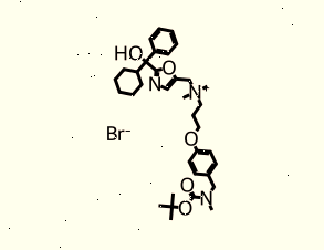 CN(Cc1ccc(OCCC[N+](C)(C)Cc2cnc(C(O)(c3ccccc3)C3CCCCC3)o2)cc1)C(=O)OC(C)(C)C.[Br-]